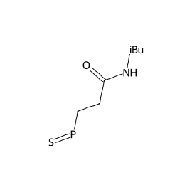 CCC(C)NC(=O)CCP=S